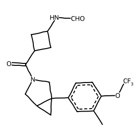 Cc1cc(C23CC2CN(C(=O)C2CC(NC=O)C2)C3)ccc1OC(F)(F)F